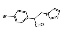 O=CC(Cn1ccnc1)c1ccc(Br)cc1